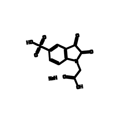 O=C(O)CN1C(=O)C(=O)c2cc(S(=O)(=O)O)ccc21.[NaH]